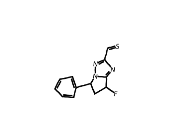 FC1CC(c2ccccc2)n2nc(C=S)nc21